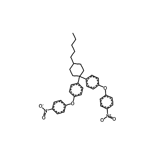 CCCCCC1CCC(c2ccc(Oc3ccc([N+](=O)[O-])cc3)cc2)(c2ccc(Oc3ccc([N+](=O)[O-])cc3)cc2)CC1